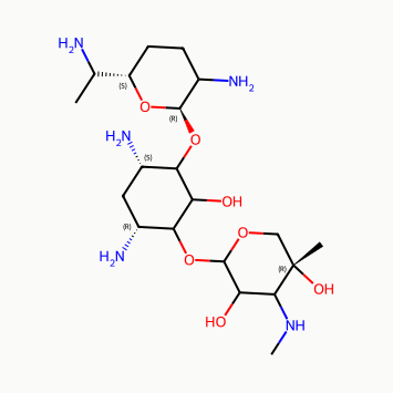 CNC1C(O)C(OC2C(O)C(O[C@H]3O[C@H](C(C)N)CCC3N)[C@@H](N)C[C@H]2N)OC[C@]1(C)O